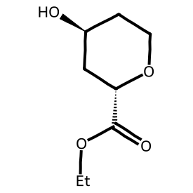 CCOC(=O)[C@@H]1C[C@@H](O)CCO1